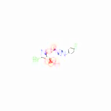 C[C@@H]1CN(Cc2ccc(F)cc2)[C@@H](C)CN1C(=O)COc1ncc(Br)cc1CS(=O)(=O)O